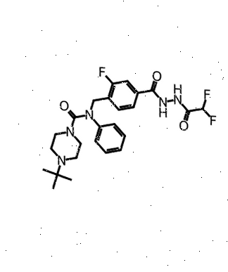 CC(C)(C)N1CCN(C(=O)N(Cc2ccc(C(=O)NNC(=O)C(F)F)cc2F)c2ccccc2)CC1